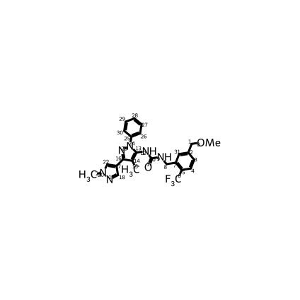 COCc1ccc(C(F)(F)F)c(CNC(=O)Nc2c(C)c(-c3cnn(C)c3)nn2-c2ccccc2)c1